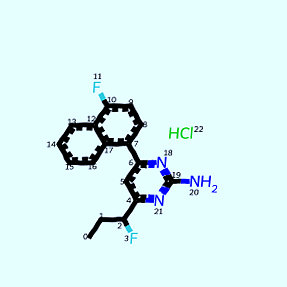 CCC(F)c1cc(-c2ccc(F)c3ccccc23)nc(N)n1.Cl